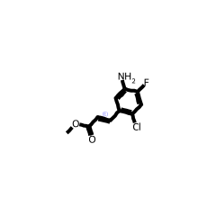 COC(=O)/C=C/c1cc(N)c(F)cc1Cl